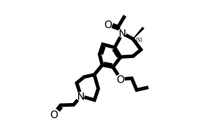 CCCOc1c(C2CCN(CC=O)CC2)ccc2c1CC[C@H](C)N2C(C)=O